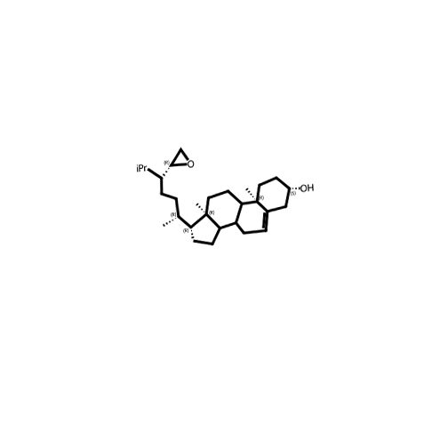 CC(C)C(CC[C@@H](C)[C@H]1CCC2C3CC=C4C[C@@H](O)CC[C@]4(C)C3CC[C@@]21C)[C@@H]1CO1